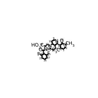 Cn1ccc(C(F)(F)F)c(-c2nccc3c2CCCN3CC(NC(=O)c2c(F)cccc2F)C(=O)O)c1=O